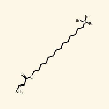 CC=CC(=O)OCCCCCCCCCCCCCC[Si](Br)(Br)Br